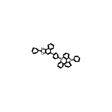 c1ccc(-c2nc3c(cc(-c4ccc(N(c5ccccc5)c5cccc6c5c5ccccc5n6-c5ccccc5)cc4)c4ccccc43)o2)cc1